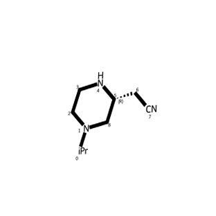 CC(C)N1CCN[C@H](CC#N)C1